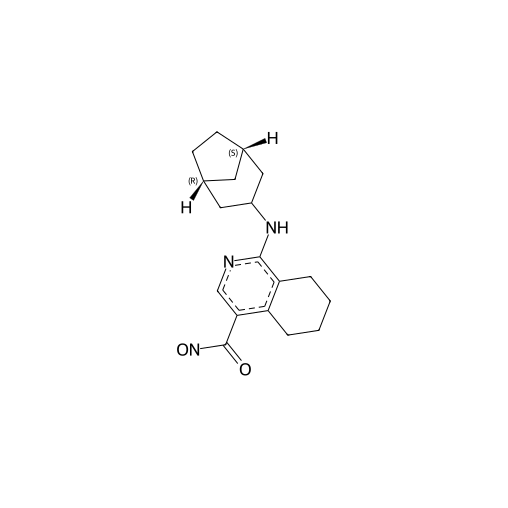 O=NC(=O)c1cnc(NC2C[C@H]3CC[C@@H](C2)C3)c2c1CCCC2